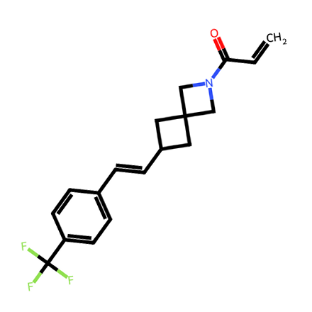 C=CC(=O)N1CC2(CC(/C=C/c3ccc(C(F)(F)F)cc3)C2)C1